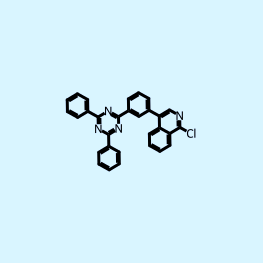 Clc1ncc(-c2cccc(-c3nc(-c4ccccc4)nc(-c4ccccc4)n3)c2)c2ccccc12